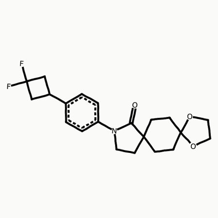 O=C1N(c2ccc(C3CC(F)(F)C3)cc2)CCC12CCC1(CC2)OCCO1